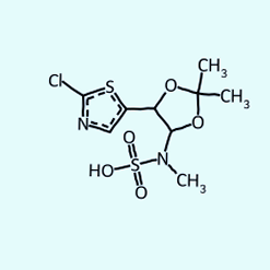 CN(C1OC(C)(C)OC1c1cnc(Cl)s1)S(=O)(=O)O